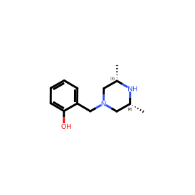 C[C@@H]1CN(Cc2ccccc2O)C[C@H](C)N1